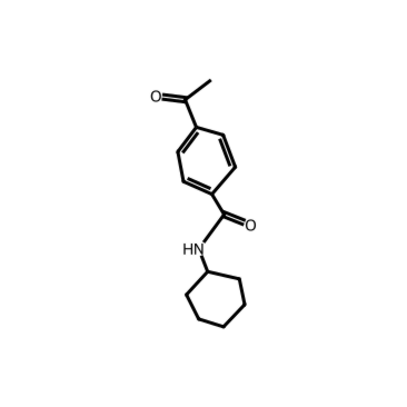 CC(=O)c1ccc(C(=O)NC2CCCCC2)cc1